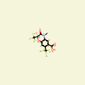 CN1C(=O)[C@](C)(C(F)(F)F)Oc2cc(C(F)(F)F)c(C(=O)O)cc21